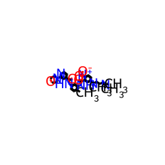 Cc1ccc(NC(=O)c2ccnc(N3CCOCC3)c2)cc1NC(=O)c1cc(N(C)CCCN(C)C)ccc1[N+](=O)[O-]